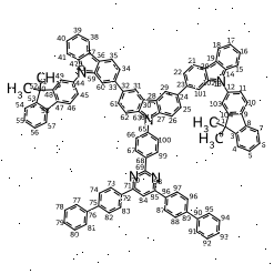 CC1(C)c2ccccc2-c2ccc(-n3c4ccccc4c4ccc(-c5ccc6c(c5)c5cc(-c7ccc8c9ccccc9n(-c9ccc%10c(c9)C(C)(C)c9ccccc9-%10)c8c7)ccc5n6-c5ccc(-c6nc(-c7ccc(-c8ccccc8)cc7)cc(-c7ccc(-c8ccccc8)cc7)n6)cc5)cc43)cc21